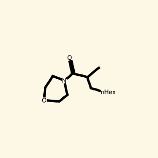 CCCCCCCC(C)C(=O)N1CCOCC1